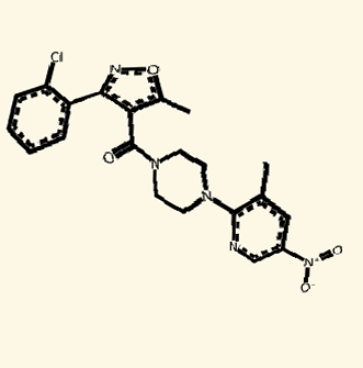 Cc1cc([N+](=O)[O-])cnc1N1CCN(C(=O)c2c(-c3ccccc3Cl)noc2C)CC1